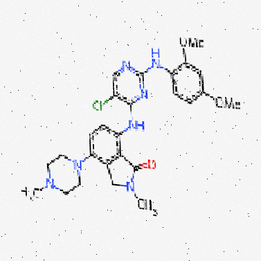 COc1ccc(Nc2ncc(Cl)c(Nc3ccc(N4CCN(C)CC4)c4c3C(=O)N(C)C4)n2)c(OC)c1